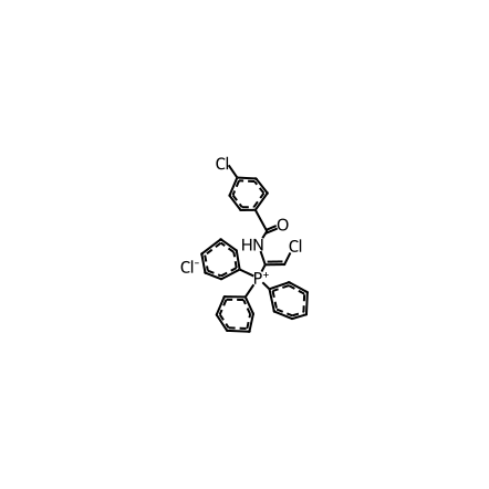 O=C(NC(=CCl)[P+](c1ccccc1)(c1ccccc1)c1ccccc1)c1ccc(Cl)cc1.[Cl-]